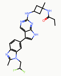 CCC(=O)NC1(C)CC(Nc2ncc3c(-c4ccc5nc(C)n(CC(F)F)c5c4)c[nH]c3n2)C1